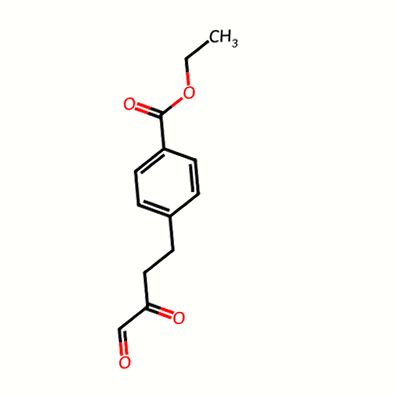 CCOC(=O)c1ccc(CCC(=O)C=O)cc1